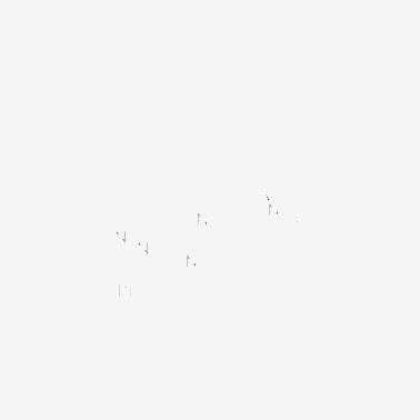 Cc1nc(N2CCC3(CC2)Cc2ccccc2[C@H]3N)c2ccnn2c1Br